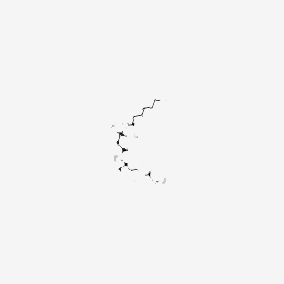 CCC(C)(CCOC(=O)NN)NC(=O)CC(C)(C)NC(=O)CCCCCS